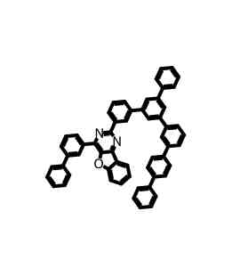 c1ccc(-c2ccc(-c3cccc(-c4cc(-c5ccccc5)cc(-c5cccc(-c6nc(-c7cccc(-c8ccccc8)c7)c7oc8ccccc8c7n6)c5)c4)c3)cc2)cc1